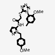 COc1ccc(Cn2nccc2NC(=O)CSc2nnnn2-c2cc(C)ccc2OC)cc1